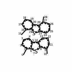 Cc1cccc2c1sc1c(C)cccc12.Cc1cccc2c1sc1cccc(C)c12